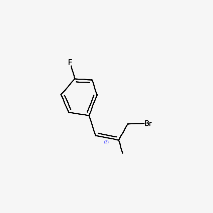 C/C(=C/c1ccc(F)cc1)CBr